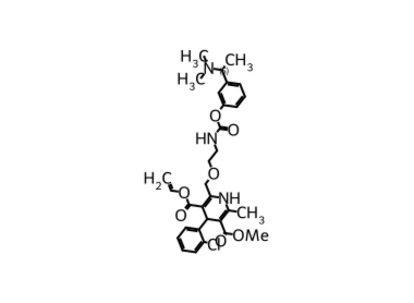 C=COC(=O)C1=C(COCCNC(=O)Oc2cccc([C@H](C)N(C)C)c2)NC(C)=C(C(=O)OC)C1c1ccccc1Cl